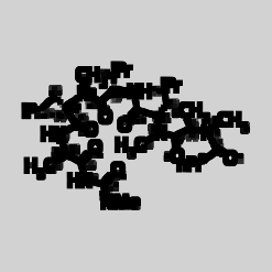 CCCC(=O)N(C)[C@H](C)C(=O)N(C)[C@@H](CC(C)C)C(=O)N[C@H](C(=O)N(C)[C@@H](CC(C)C)C(=O)N[C@H](C)C(=O)NC(=O)NC)C(C)C